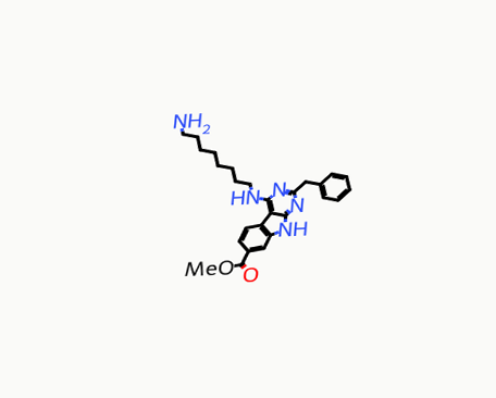 COC(=O)c1ccc2c(c1)[nH]c1nc(Cc3ccccc3)nc(NCCCCCCCCN)c12